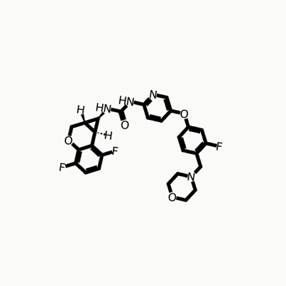 O=C(Nc1ccc(Oc2ccc(CN3CCOCC3)c(F)c2)cn1)N[C@@H]1[C@H]2COc3c(F)ccc(F)c3[C@@H]21